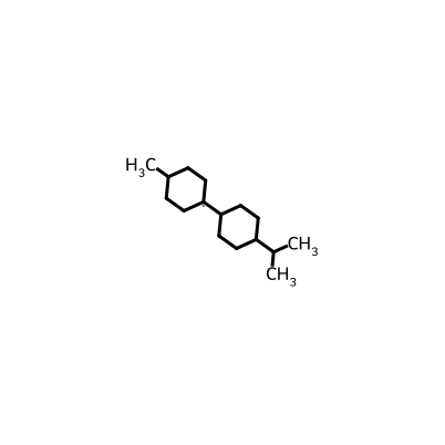 CC1CC[C](C2CCC(C(C)C)CC2)CC1